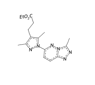 CCOC(=O)CCc1c(C)nn(-c2ccc3nnc(C)n3n2)c1C